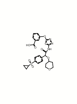 O=C(O)c1cccc(Oc2nnc(NC(=O)C(OC3CCOCC3)c3ccc(S(=O)(=O)C4CC4)cc3)s2)c1